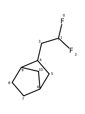 F[C](F)CC1CC2CCC1C2